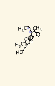 C=C(C)[C@@H](CCCO)Cc1ccc(/C(=C/C=C\C)C(C)=C2CCCC2)cc1